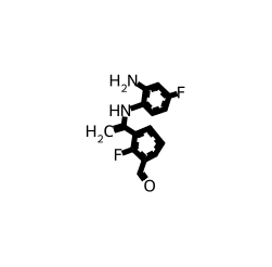 C=C(Nc1ccc(F)cc1N)c1cccc(C=O)c1F